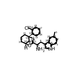 Cc1ccc2[nH]cc(CC(N)C3=N[C@@]4(c5ccccc5Cl)CCC[C@@H](O3)C4=O)c2c1